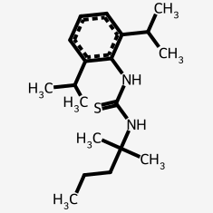 CCCC(C)(C)NC(=S)Nc1c(C(C)C)cccc1C(C)C